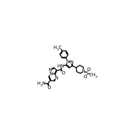 Cc1ccc(-n2nc(C3CCN(S(C)(=O)=O)CC3)cc2NC(=O)c2cnn3cc(C(N)=O)cnc23)cc1